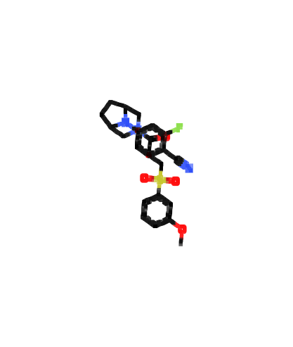 COc1cccc(S(=O)(=O)CCC(=O)N2CC3CCC(C2)N3c2ccc(C#N)c(F)c2)c1